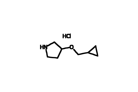 C1CC(OCC2CC2)CN1.Cl